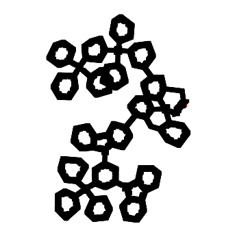 c1ccc([Si](c2ccccc2)(c2ccccc2)c2cc(-n3c4ccccc4c4ccccc43)cc(-n3c4ccccc4c4cc(-c5cccc6c5Cc5ccccc5[Si]65c6ccccc6Cc6cc(-c7cccc([Si](c8ccccc8)(c8ccccc8)c8cccc([Si](c9ccccc9)(c9ccccc9)c9ccccc9)c8)c7)ccc65)ccc43)c2)cc1